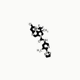 Cc1cc(NC(=O)N2C[C@@](C)(C(F)(F)F)c3c2cnc2cc(Cl)nn32)cnc1-n1nccn1